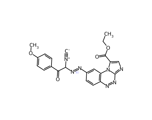 [C-]#[N+]C(/N=N/c1ccc2nnc3ncc(C(=O)OCC)n3c2c1)C(=O)c1ccc(OC)cc1